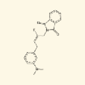 CN(C)c1cccc(C/C=C(/F)CN2C(=O)c3ccccc3C2=O)c1